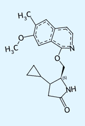 COc1cc2c(OC[C@H]3NC(=O)CC3C3CC3)nccc2cc1C